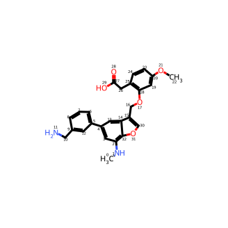 CNc1cc(-c2cccc(CN)c2)cc2c(COc3cc(OC)ccc3CC(=O)O)coc12